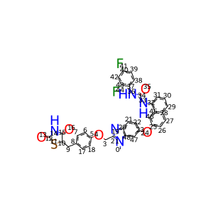 Cn1c(COc2ccc(CC3SC(=O)NC3=O)cc2)nc2ccc(Oc3ccc4cccc(NC(=O)Nc5ccc(F)cc5F)c4c3)cc21